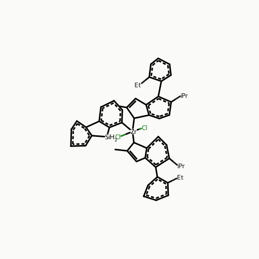 CCc1ccccc1-c1c(C(C)C)ccc2c1C=C(C)[CH]2[Zr]([Cl])([Cl])([c]1cccc2c1[SiH2]c1ccccc1-2)[CH]1C(C)=Cc2c1ccc(C(C)C)c2-c1ccccc1CC